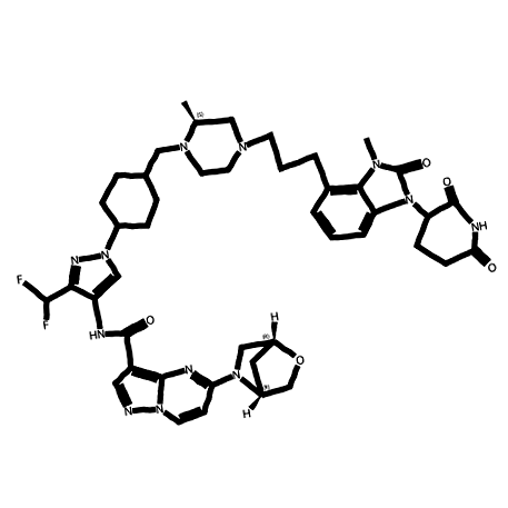 C[C@H]1CN(CCCc2cccc3c2n(C)c(=O)n3C2CCC(=O)NC2=O)CCN1CC1CCC(n2cc(NC(=O)c3cnn4ccc(N5C[C@H]6C[C@@H]5CO6)nc34)c(C(F)F)n2)CC1